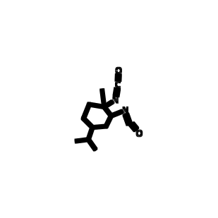 CC(C)C1CCC(C)(N=C=O)C(N=C=O)C1